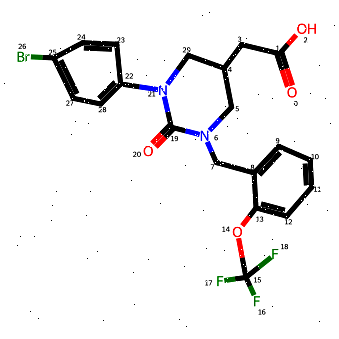 O=C(O)CC1CN(Cc2ccccc2OC(F)(F)F)C(=O)N(c2ccc(Br)cc2)C1